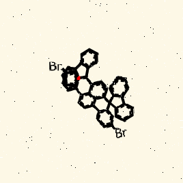 Brc1ccc(-c2ccc3c4c(ccc(C5c6ccccc6-c6ccccc65)c24)C2(c4ccccc4-c4ccccc42)c2cc(Br)ccc2-3)cc1